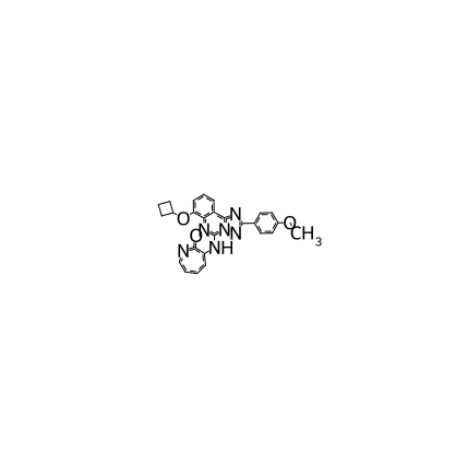 COc1ccc(-c2nc3c4cccc(OC5CCC5)c4nc(Nc4ccccnc4=O)n3n2)cc1